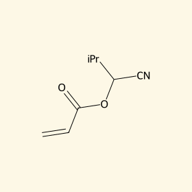 C=CC(=O)OC(C#N)C(C)C